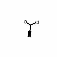 C#CC([O])Cl